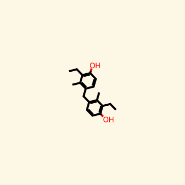 CCc1c(O)ccc(Cc2ccc(O)c(CC)c2C)c1C